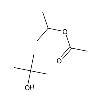 CC(=O)OC(C)C.CC(C)(C)O